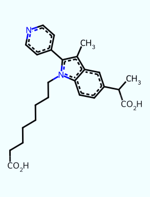 Cc1c(-c2ccncc2)n(CCCCCCCC(=O)O)c2ccc(C(C)C(=O)O)cc12